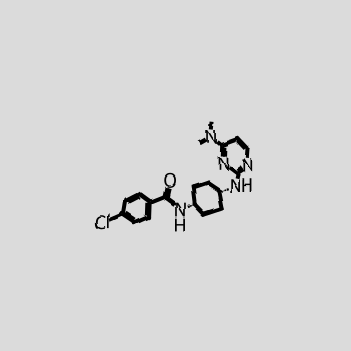 CN(C)c1ccnc(N[C@H]2CC[C@@H](NC(=O)c3ccc(Cl)cc3)CC2)n1